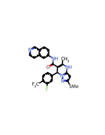 CSc1cc2n(n1)C(c1ccc(C(F)(F)F)c(F)c1)C(C(=O)Nc1ccc3cnccc3c1)=C(C)N2